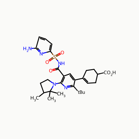 CC1CCN(c2nc(C(C)(C)C)c(C3=CCC(C(=O)O)CC3)cc2C(=O)NS(=O)(=O)c2cccc(N)n2)C1(C)C